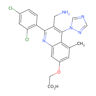 Cc1cc(OCC(=O)O)cc2nc(-c3ccc(Cl)cc3Cl)c(CN)c(-n3cncn3)c12